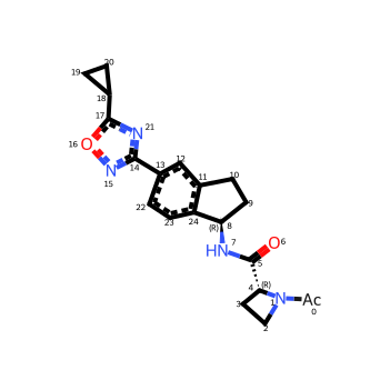 CC(=O)N1CC[C@@H]1C(=O)N[C@@H]1CCc2cc(-c3noc(C4CC4)n3)ccc21